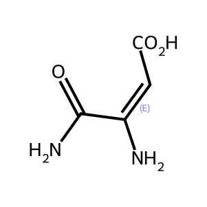 NC(=O)/C(N)=C\C(=O)O